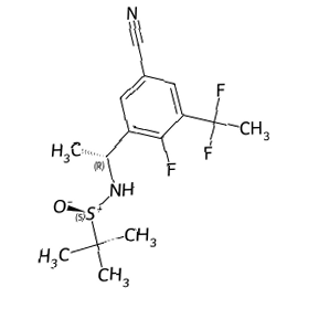 C[C@@H](N[S@+]([O-])C(C)(C)C)c1cc(C#N)cc(C(C)(F)F)c1F